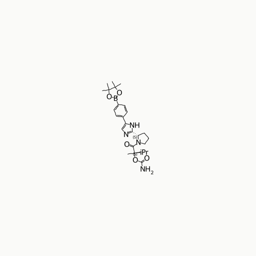 CC(C)[C@](C)(OC(N)=O)C(=O)N1CCC[C@H]1c1ncc(-c2ccc(B3OC(C)(C)C(C)(C)O3)cc2)[nH]1